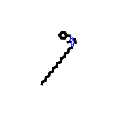 CCCCCCCCCCCCCCCCC[n+]1ccn(Cc2ccccc2)c1C